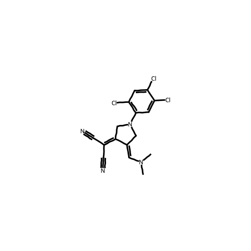 CN(C)C=C1CN(c2cc(Cl)c(Cl)cc2Cl)CC1=C(C#N)C#N